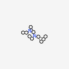 c1ccc2cc(-n3c4ccccc4c4ccc(N(c5ccc6c(c5)-c5cccc7cc8ccccc8c-6c57)c5cccc6ccccc56)cc43)ccc2c1